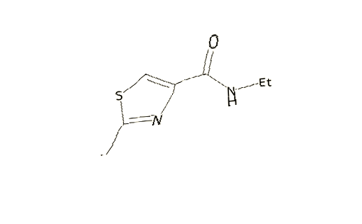 [CH2]c1nc(C(=O)NCC)cs1